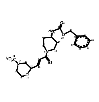 O=C(NC1CCN(C(=O)C=CC2CN(C(=O)O)CCO2)CC1)OCc1ccccc1